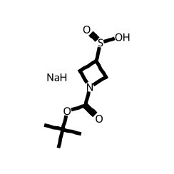 CC(C)(C)OC(=O)N1CC(S(=O)O)C1.[NaH]